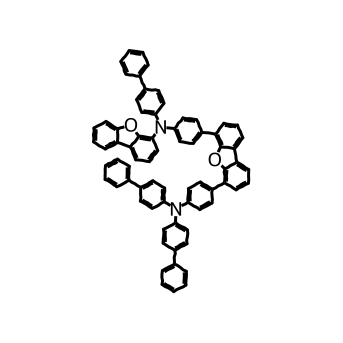 c1ccc(-c2ccc(N(c3ccc(-c4ccccc4)cc3)c3ccc(-c4cccc5c4oc4c(-c6ccc(N(c7ccc(-c8ccccc8)cc7)c7cccc8c7oc7ccccc78)cc6)cccc45)cc3)cc2)cc1